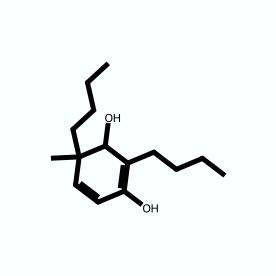 CCCCC1=C(O)C=CC(C)(CCCC)C1O